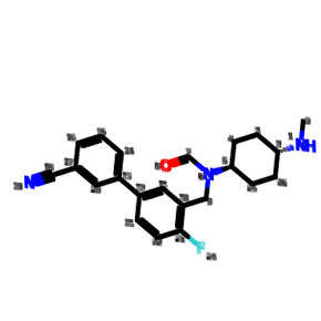 CN[C@H]1CC[C@H](N(C=O)Cc2cc(-c3cccc(C#N)c3)ccc2F)CC1